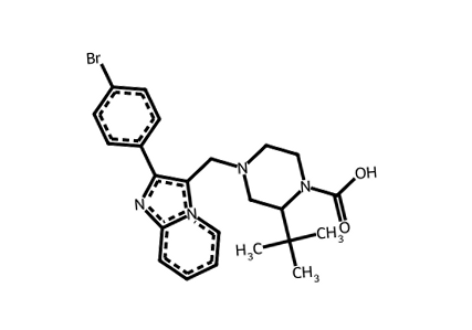 CC(C)(C)C1CN(Cc2c(-c3ccc(Br)cc3)nc3ccccn23)CCN1C(=O)O